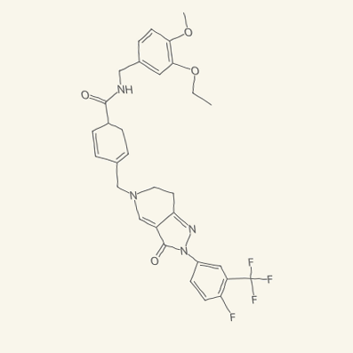 CCOc1cc(CNC(=O)C2C=CC(CN3C=C4C(=O)N(c5ccc(F)c(C(F)(F)F)c5)N=C4CC3)=CC2)ccc1OC